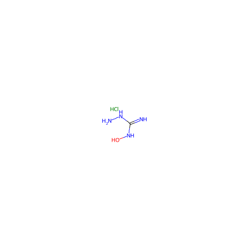 Cl.N=C(NN)NO